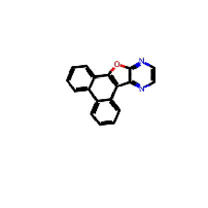 c1ccc2c(c1)c1ccccc1c1c3nccnc3oc21